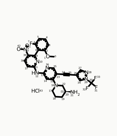 COc1cccc(F)c1-c1nc(Nc2cc(N3CCC[C@H](N)C3)c(C#Cc3cnn(C(F)(F)F)c3)cn2)ccc1[N+](=O)[O-].Cl